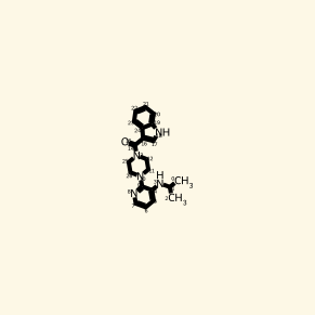 CC(C)Nc1cccnc1N1CCN(C(=O)c2c[nH]c3ccccc23)CC1